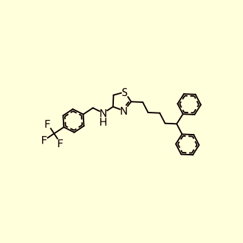 FC(F)(F)c1ccc(CNC2CSC(CCCCC(c3ccccc3)c3ccccc3)=N2)cc1